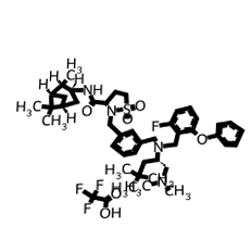 C[C@@H]1[C@@H](NC(=O)C2CCS(=O)(=O)N2Cc2cccc(CN(Cc3c(F)cccc3Oc3ccccc3)[C@H](CN(C)C)CC(C)(C)C)c2)C[C@H]2C[C@@H]1C2(C)C.O=C(O)C(F)(F)F